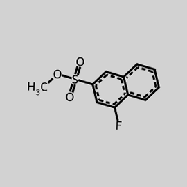 COS(=O)(=O)c1cc(F)c2ccccc2c1